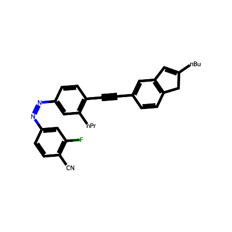 CCCCC1=Cc2cc(C#Cc3ccc(/N=N\c4ccc(C#N)c(F)c4)cc3CCC)ccc2C1